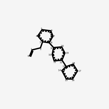 C=CCc1ccc[c]c1-c1ccc(-c2ccccc2)cc1